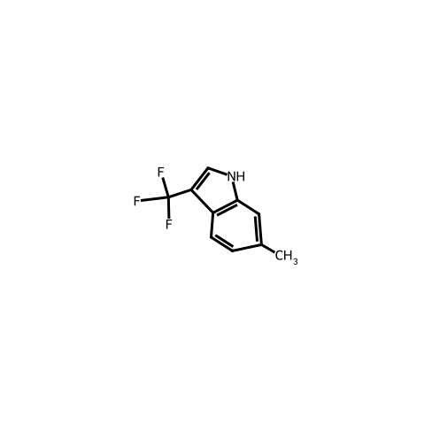 Cc1ccc2c(C(F)(F)F)c[nH]c2c1